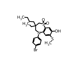 CCCCC1(CC)CN(c2ccc(Br)cc2)c2cc(SC)c(O)cc2S(=O)(=O)C1